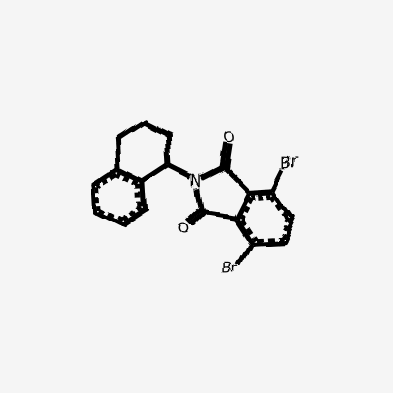 O=C1c2c(Br)ccc(Br)c2C(=O)N1C1CCCc2ccccc21